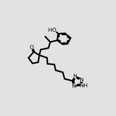 CC(CCC1(CCCCCCc2nn[nH]n2)CCCC1=O)c1ccccc1O